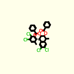 Cc1cc(Cl)c(Cl)cc1[C@H]1c2cc(Cl)c(Cl)cc2C(C)C(OC(=O)c2ccccc2)C1OC(=O)c1ccccc1